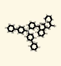 IC1=C2C=CC=CN2c2nc(-c3cccc(N(c4ccc(-c5ccccc5)cc4)c4ccc(-c5ccccc5)cc4)c3)c3ccccc3c2C1